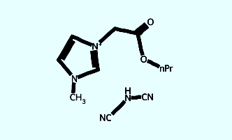 CCCOC(=O)C[n+]1ccn(C)c1.N#CNC#N